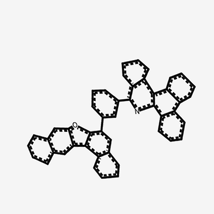 c1cc(-c2nc3c4ccccc4c4ccccc4c3c3ccccc23)cc(-c2cc3ccccc3c3c2oc2cc4ccccc4cc23)c1